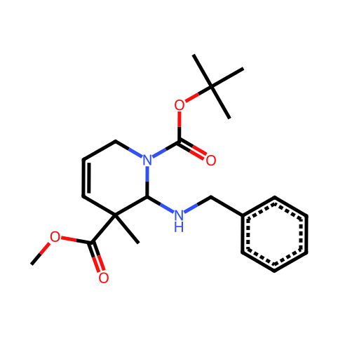 COC(=O)C1(C)C=CCN(C(=O)OC(C)(C)C)C1NCc1ccccc1